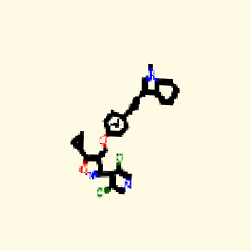 Cn1cc(C#CC23CCC(OCc4c(-c5c(Cl)cncc5Cl)noc4C4CC4)(CC2)CC3)c2ccccc21